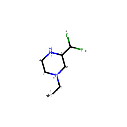 C[C](C)CN1CCNC(C(F)F)C1